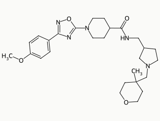 COc1ccc(-c2noc(N3CCC(C(=O)NCC4CCN(CC5(C)CCOCC5)C4)CC3)n2)cc1